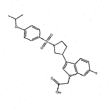 CC(C)Oc1ccc(S(=O)(=O)N2CCC(c3cn(CC(=O)O)c4cc(F)ccc34)C2)cc1